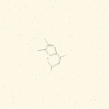 COc1cc(C=O)nn2c(C)c(C(F)(F)F)nc12